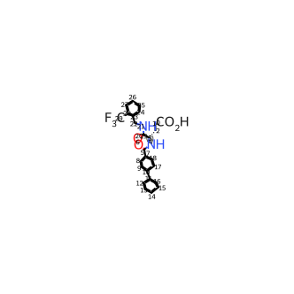 O=C(O)CC[C@H](NC(=O)c1ccc(-c2ccccc2)cc1)C(=O)NCc1ccccc1C(F)(F)F